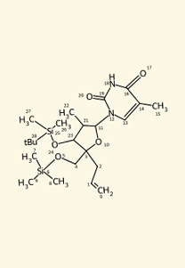 C=CCC1(CO[Si](C)(C)C)OC(n2cc(C)c(=O)[nH]c2=O)C(C)C1O[Si](C)(C)C(C)(C)C